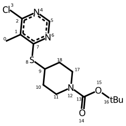 Cc1c(Cl)ncnc1SC1CCN(C(=O)OC(C)(C)C)CC1